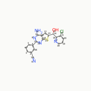 N#Cc1cccc(-c2nc(N)c3cc(C(O)c4ncccc4Cl)sc3n2)c1